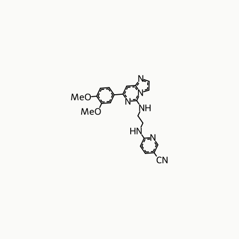 COc1ccc(-c2cc3nccn3c(NCCNc3ccc(C#N)cn3)n2)cc1OC